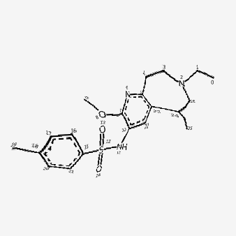 CCN1CCc2nc(OC)c(NS(=O)(=O)c3ccc(C)cc3)cc2C(C)C1